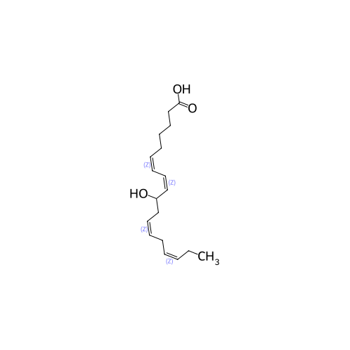 CC/C=C\C/C=C\CC(O)/C=C\C=C/CCCCC(=O)O